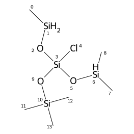 C[SiH2]O[Si](Cl)(O[SiH](C)C)O[Si](C)(C)C